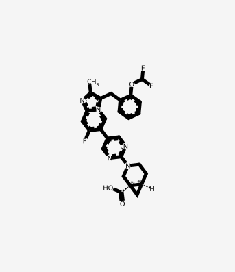 Cc1nc2cc(F)c(-c3cnc(N4CC[C@H]5C[C@@]5(C(=O)O)C4)nc3)cn2c1Cc1ccccc1OC(F)F